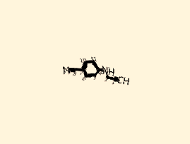 C#CCNc1ccc(C#N)cc1